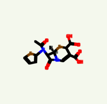 CC(=O)N(c1cccs1)C1C(=O)N2C=C(C(=O)O)C(C(=O)O)S[C@H]12